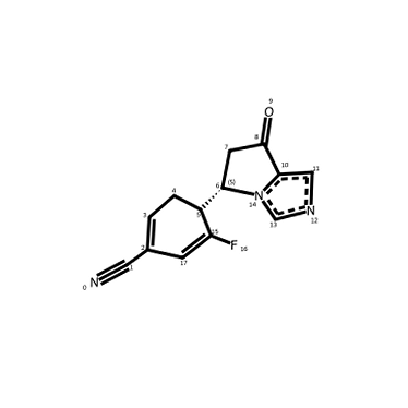 N#CC1=CCC([C@@H]2CC(=O)c3cncn32)C(F)=C1